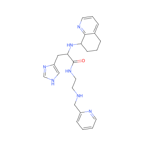 O=C(NCCNCc1ccccn1)C(Cc1c[nH]cn1)NC1CCCc2cccnc21